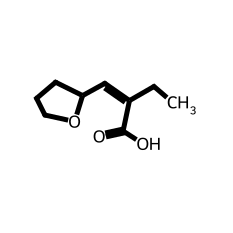 CCC(=CC1CCCO1)C(=O)O